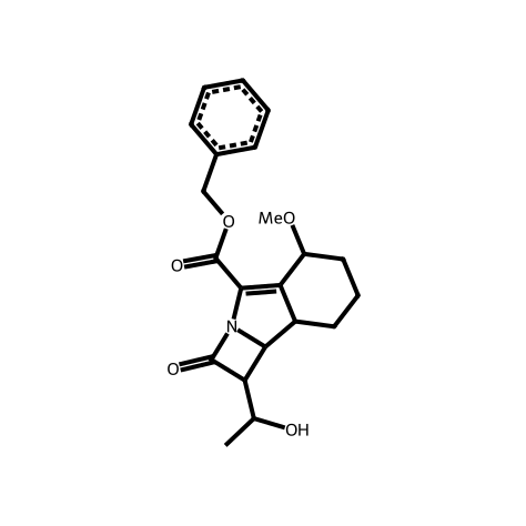 COC1CCCC2C1=C(C(=O)OCc1ccccc1)N1C(=O)C(C(C)O)C21